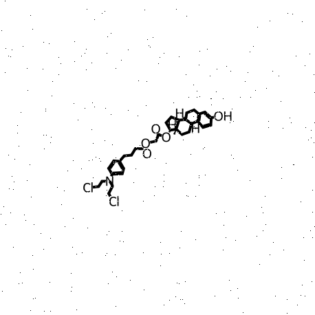 C[C@]12CC[C@@H]3c4ccc(O)cc4CC[C@H]3[C@@H]1CC[C@@H]2OC(=O)COC(=O)CCCc1ccc(N(CCCl)CCCl)cc1